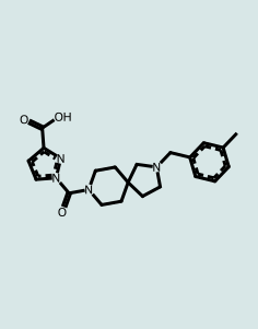 Cc1cccc(CN2CCC3(CCN(C(=O)n4ccc(C(=O)O)n4)CC3)C2)c1